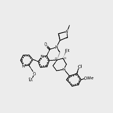 CCOc1ncccc1-c1ccc2c(n1)C(=O)N(C1CN(C)C1)C[C@]21CCN(c2cccc(OC)c2Cl)C[C@H]1CC